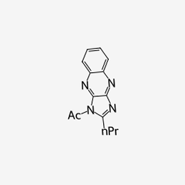 CCCc1nc2nc3ccccc3nc2n1C(C)=O